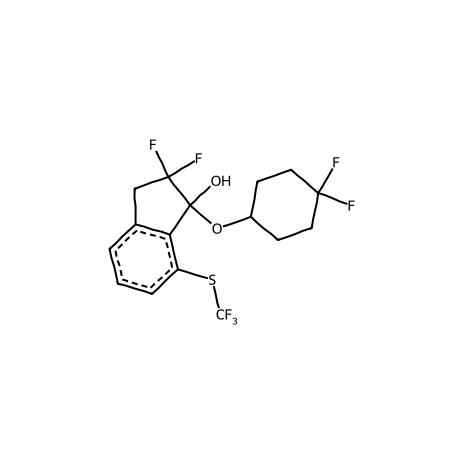 OC1(OC2CCC(F)(F)CC2)c2c(cccc2SC(F)(F)F)CC1(F)F